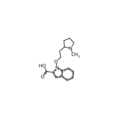 CN1CCCC1CCOn1c(C(=O)O)cc2ccccc21